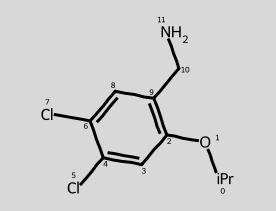 CC(C)Oc1cc(Cl)c(Cl)cc1CN